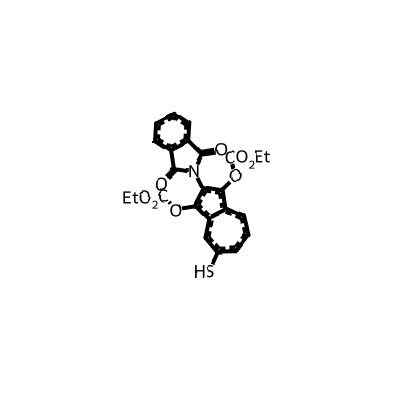 CCOC(=O)Oc1c2cccc(S)cc-2c(OC(=O)OCC)c1N1C(=O)c2ccccc2C1=O